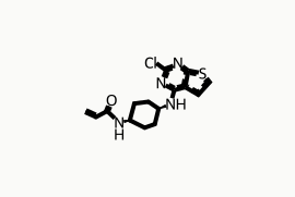 C=CC(=O)N[C@H]1CC[C@@H](Nc2nc(Cl)nc3sccc23)CC1